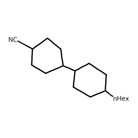 CCCCCCC1CCC(C2CCC(C#N)CC2)CC1